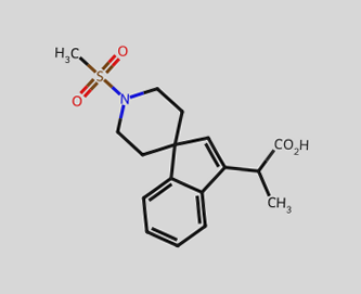 CC(C(=O)O)C1=CC2(CCN(S(C)(=O)=O)CC2)c2ccccc21